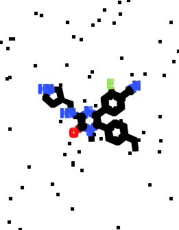 CCc1ccc(-c2c(-c3ccc(C#N)c(F)c3)nc(NC[C@H]3CCNC3)c(=O)n2C)cc1